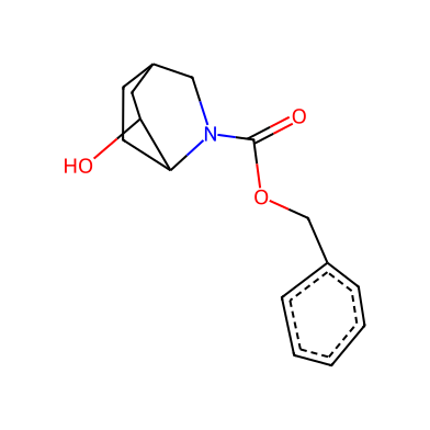 O=C(OCc1ccccc1)N1CC2CCC1C(O)C2